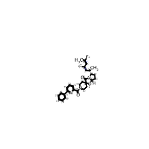 C=C(/C=C(F)\C=C(/C)F)[C@@H]1CC[C@H]2OC3(CCN(C(=O)c4cccc(-c5ccccc5)n4)CC3)C(=O)N21